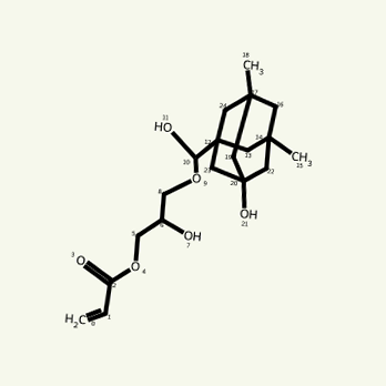 C=CC(=O)OCC(O)COC(O)C12CC3(C)CC(C)(CC(O)(C3)C1)C2